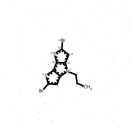 CCCn1c2cc(Br)sc2c2sc(Br)cc21